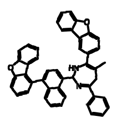 CC1=C(c2ccc3oc4ccccc4c3c2)NC(c2ccc(-c3cccc4oc5ccccc5c34)c3ccccc23)N=C(c2ccccc2)C1